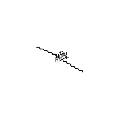 CCCCCCCCCCCCNCCCCCCCCCCCC.COP(=O)(O)O